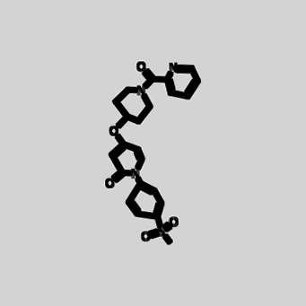 CS(=O)(=O)c1ccc(-n2ccc(OC3CCN(C(=O)c4ccccn4)CC3)cc2=O)cc1